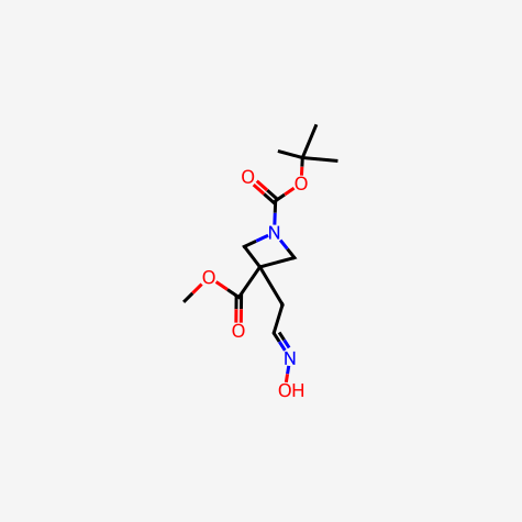 COC(=O)C1(CC=NO)CN(C(=O)OC(C)(C)C)C1